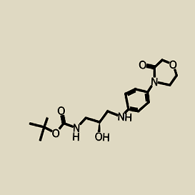 CC(C)(C)OC(=O)NC[C@H](O)CNc1ccc(N2CCOCC2=O)cc1